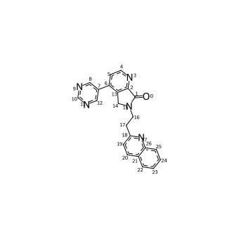 O=C1c2nccc(-c3cncnc3)c2CN1CCc1ccc2ccccc2n1